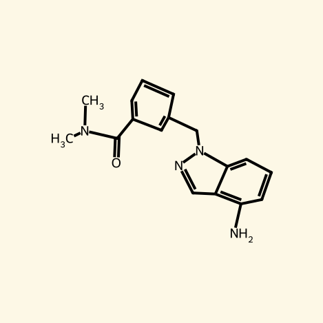 CN(C)C(=O)c1cccc(Cn2ncc3c(N)cccc32)c1